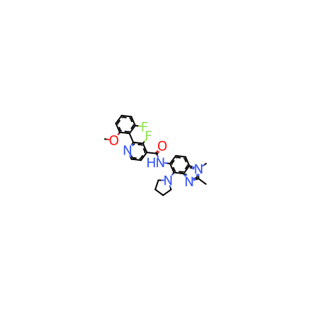 COc1cccc(F)c1-c1nccc(C(=O)Nc2ccc3c(nc(C)n3C)c2N2CCCC2)c1F